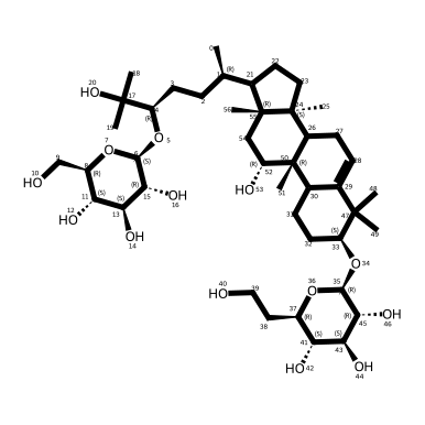 C[C@H](CC[C@@H](O[C@@H]1O[C@H](CO)[C@@H](O)[C@H](O)[C@H]1O)C(C)(C)O)C1CC[C@@]2(C)C3CC=C4C(CC[C@H](O[C@@H]5O[C@H](CCO)[C@@H](O)[C@H](O)[C@H]5O)C4(C)C)[C@]3(C)[C@H](O)C[C@]12C